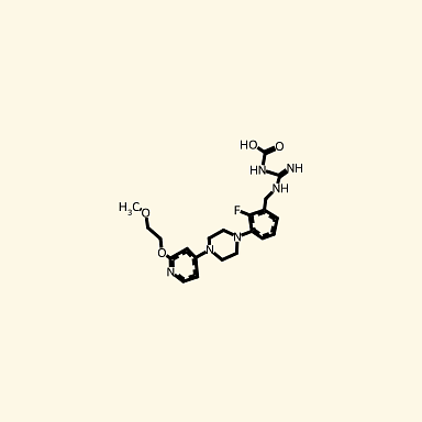 COCCOc1cc(N2CCN(c3cccc(CNC(=N)NC(=O)O)c3F)CC2)ccn1